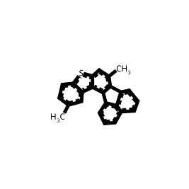 Cc1ccc2sc3cc(C)c4c(c3c2c1)-c1cccc2cccc-4c12